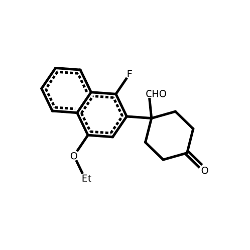 CCOc1cc(C2(C=O)CCC(=O)CC2)c(F)c2ccccc12